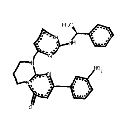 C[C@H](Nc1nccc(N2CCCn3c2nc(-c2cccc([N+](=O)[O-])c2)cc3=O)n1)c1ccccc1